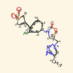 Cc1cn(C[C@H]2CN(c3ccc(C4=CCS(=O)(=O)C4)c(F)c3)C(=O)O2)nn1